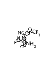 N#CCC1(n2cc(C(N)=O)c(Nc3cncc(F)c3)n2)CCN(C(=O)CC(F)(F)F)CC1